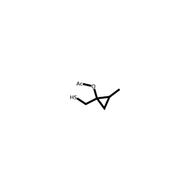 CC(=O)OC1(CS)CC1C